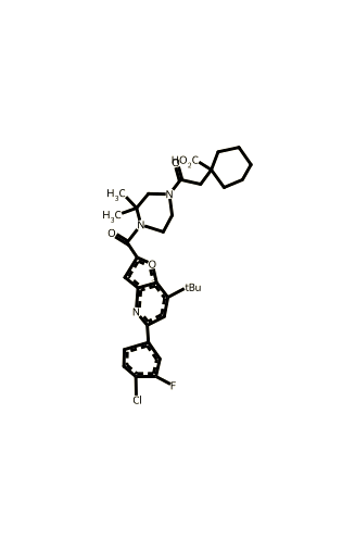 CC(C)(C)c1cc(-c2ccc(Cl)c(F)c2)nc2cc(C(=O)N3CCN(C(=O)CC4(C(=O)O)CCCCC4)CC3(C)C)oc12